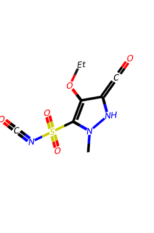 CCOC1=C(S(=O)(=O)N=C=O)N(C)NC1=C=O